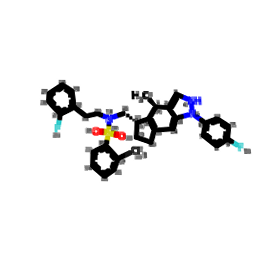 C[C@H]1C2=CNN(c3ccc(F)cc3)C2=CC2=C1[C@@H](CN(CCc1ccccc1F)S(=O)(=O)c1ccccc1C(F)(F)F)CC2